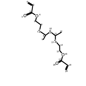 C=CC(=O)OCCSC(C)SC(C)SCCOC(=O)C=C